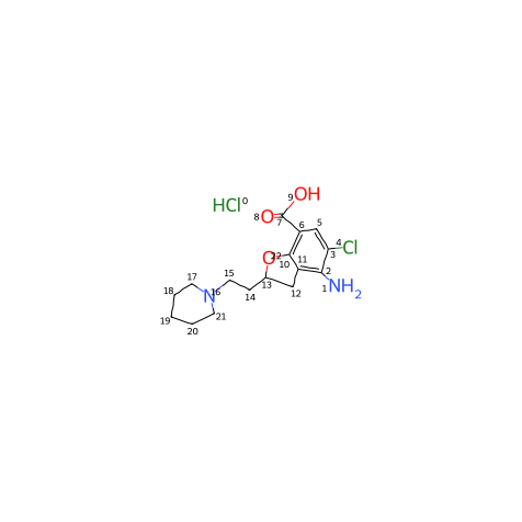 Cl.Nc1c(Cl)cc(C(=O)O)c2c1CC(CCN1CCCCC1)O2